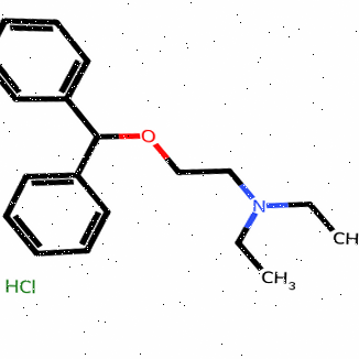 CCN(CC)CCOC(c1ccccc1)c1ccccc1.Cl